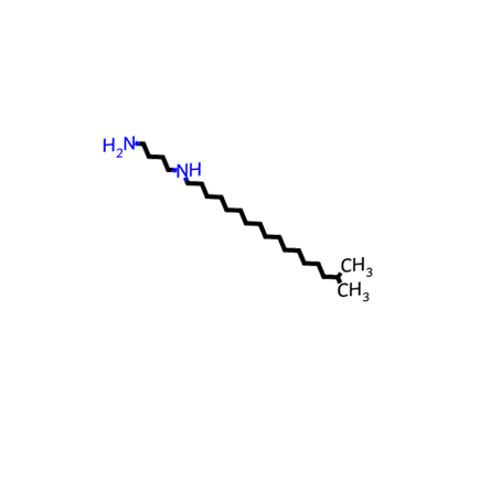 CC(C)CCCCCCCCCCCCCCCNCCCCN